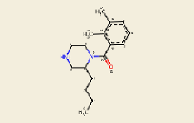 CCCCC1CNCCN1C(=O)c1cccc(C)c1C